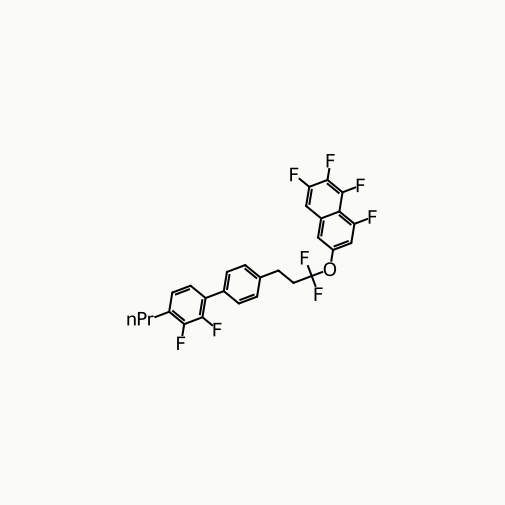 CCCc1ccc(-c2ccc(CCC(F)(F)Oc3cc(F)c4c(F)c(F)c(F)cc4c3)cc2)c(F)c1F